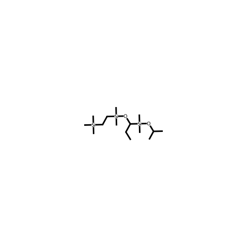 CCC(O[Si](C)(C)CC[Si](C)(C)C)[Si](C)(C)OC(C)C